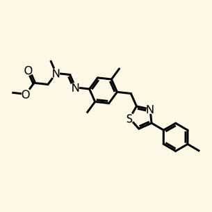 COC(=O)CN(C)C=Nc1cc(C)c(Cc2nc(-c3ccc(C)cc3)cs2)cc1C